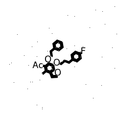 CC(=O)c1c(OCCc2ccccc2)c(OCCCc2ccc(F)cc2)c2occc2c1C